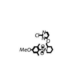 COc1cc(C)c(S(=O)(=O)N2CCCCC2COc2ccnc(Cl)n2)c(C)c1